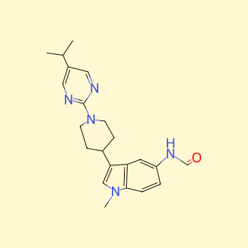 CC(C)c1cnc(N2CCC(c3cn(C)c4ccc(NC=O)cc34)CC2)nc1